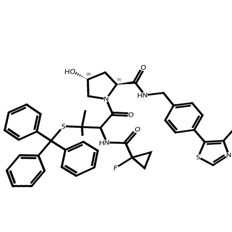 Cc1ncsc1-c1ccc(CNC(=O)[C@@H]2C[C@@H](O)CN2C(=O)C(NC(=O)C2(F)CC2)C(C)(C)SC(c2ccccc2)(c2ccccc2)c2ccccc2)cc1